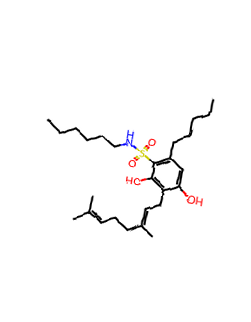 CCCCCCNS(=O)(=O)c1c(CCCCC)cc(O)c(C/C=C(\C)CCC=C(C)C)c1O